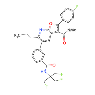 CNC(=O)c1c(-c2ccc(F)cc2)oc2nc(CCC(F)(F)F)c(-c3cccc(C(=O)NC(CF)(CF)CF)c3)cc12